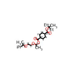 CCC(C)(CC)OC(=O)C1CCC(C(=O)OC(C)OCCOC(C)C(C)C)CC1